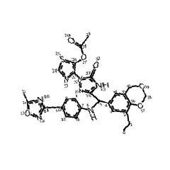 CCc1cc(C(Nc2ccc(-c3noc(C)n3)cc2)c2nn(-c3ncsc3OC(C)=O)c(=O)[nH]2)cc2c1OCOC2